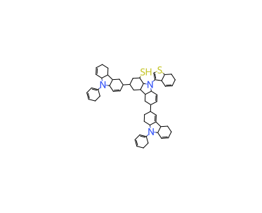 SC1CC(C2C=CC3C(C2)C2CCC=CC2N3C2=CC=CCC2)CC2C3CC(C4C=C5C6CCC=CC6N(C6=CC=CCC6)C5CC4)C=CC3N(C3=CSC4CCC=CC34)C12